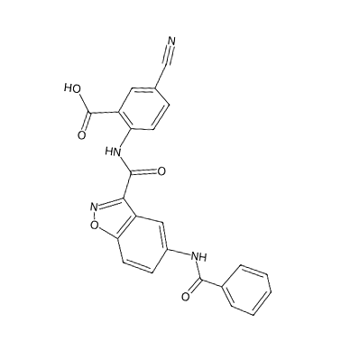 N#Cc1ccc(NC(=O)c2noc3ccc(NC(=O)c4ccccc4)cc23)c(C(=O)O)c1